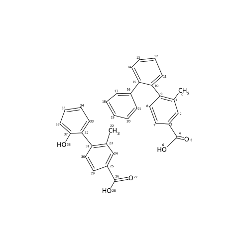 Cc1cc(C(=O)O)ccc1-c1ccccc1-c1ccccc1.Cc1cc(C(=O)O)ccc1-c1ccccc1O